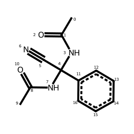 CC(=O)NC(C#N)(NC(C)=O)c1ccccc1